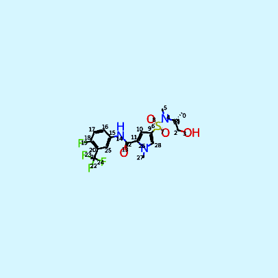 C[C@H](CO)N(C)S(=O)(=O)c1cc(C(=O)Nc2ccc(F)c(C(F)(F)F)c2)n(C)c1